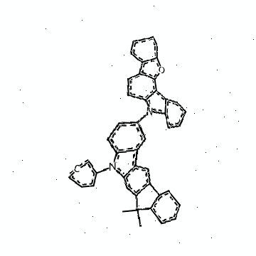 CC1(C)c2ccccc2-c2cc3c4cc(-n5c6ccccc6c6c7oc8ccccc8c7ccc65)ccc4n(-c4ccccc4)c3cc21